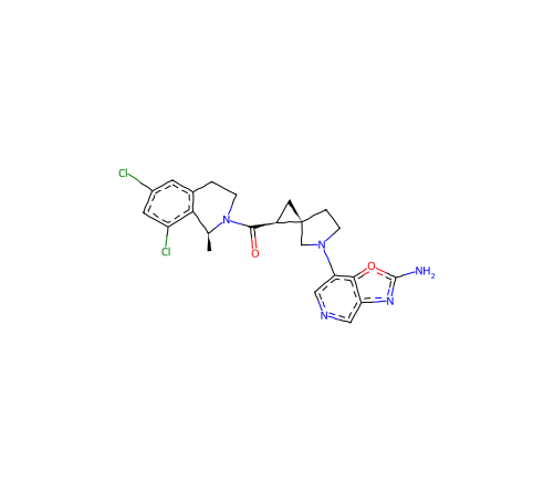 C[C@H]1c2c(Cl)cc(Cl)cc2CCN1C(=O)[C@H]1C[C@]12CCN(c1cncc3nc(N)oc13)C2